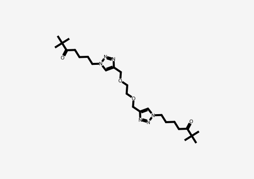 CC(C)(C)C(=O)CCCCn1cc(COCCOCc2cn(CCCCC(=O)C(C)(C)C)nn2)nn1